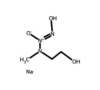 CN(CCO)[N+]([O-])=NO.[Na]